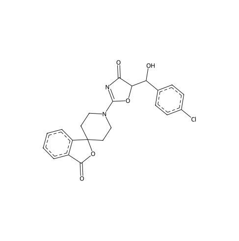 O=C1OC2(CCN(C3=NC(=O)C(C(O)c4ccc(Cl)cc4)O3)CC2)c2ccccc21